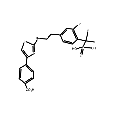 O=C(O)c1ccc(-c2csc(NCCc3ccc(C(F)(F)P(=O)(O)O)c(Br)c3)n2)cc1